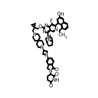 CCc1cccc2cc(O)cc(-c3ncc4c(N5CC6CCC(C5)N6)nc(OCC5(CN6CCC7(CC6)CCN(C6CN(c8ccc9c(c8)CN(C8CCC(=O)NC8=O)C9=O)C6)CC7)CC5)nc4c3F)c12